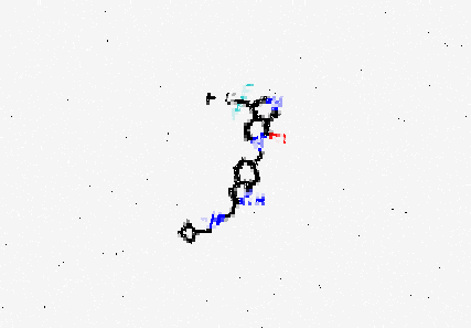 CC(F)(F)c1cncc2c(=O)n(Cc3ccc4cc(CNCC5CCC5)[nH]c4c3)ccc12